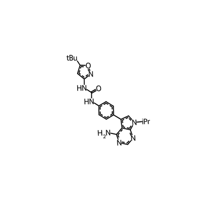 CC(C)n1cc(-c2ccc(NC(=O)Nc3cc(C(C)(C)C)on3)cc2)c2c(N)ncnc21